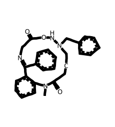 CN1C(=O)CCCN(Cc2ccccc2)NOC(=O)C/N=C(\c2ccccc2)c2ccccc21